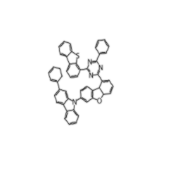 C1=CCCC(c2ccc3c4ccccc4n(-c4ccc5c(c4)OC4C=CC=C(c6nc(-c7ccccc7)nc(-c7cccc8c7sc7ccccc78)n6)C54)c3c2)=C1